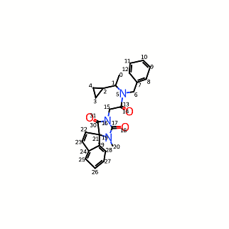 CC(C1CC1)N(Cc1ccccc1)C(=O)CN1C(=O)N(C)C2(C=Cc3ccccc32)C1=O